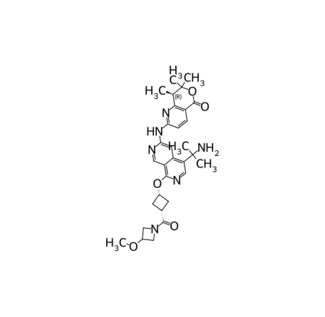 COC1CN(C(=O)[C@H]2C[C@@H](Oc3ncc(C(C)(C)N)c4cc(Nc5ccc6c(n5)[C@@H](C)C(C)(C)OC6=O)ncc34)C2)C1